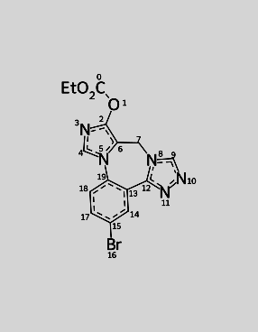 CCOC(=O)Oc1ncn2c1Cn1cnnc1-c1cc(Br)ccc1-2